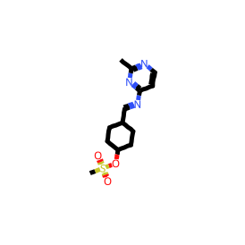 Cc1nccc(N=CC2CCC(OS(C)(=O)=O)CC2)n1